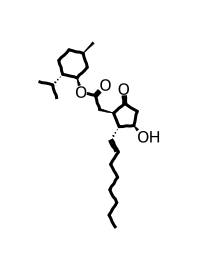 CCCCCC/C=C/[C@H]1[C@H](O)CC(=O)[C@@H]1CC(=O)O[C@@H]1C[C@H](C)CC[C@H]1C(C)C